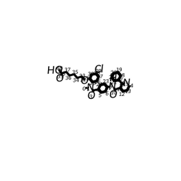 CN(C(=O)c1ccc(NC(=O)c2cccnc2-c2ccccc2)cc1)c1ccc(Cl)cc1OCCCCCC(=O)O